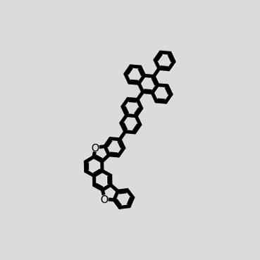 c1ccc(-c2c3ccccc3c(-c3ccc4cc(-c5ccc6c(c5)oc5ccc7cc8oc9ccccc9c8cc7c56)ccc4c3)c3ccccc23)cc1